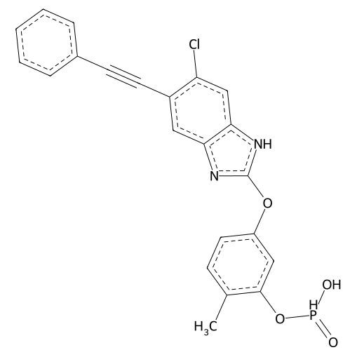 Cc1ccc(Oc2nc3cc(C#Cc4ccccc4)c(Cl)cc3[nH]2)cc1O[PH](=O)O